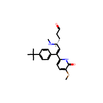 CN[C@@H](/C=C(\c1ccc(C(C)(C)C)cc1)c1ccc(SC)c(=O)[nH]1)CCC=O